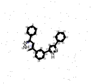 C/C(=C\C(=N/N)c1ccccc1)c1cccc(-c2cc(-c3ccccc3)n[nH]2)c1